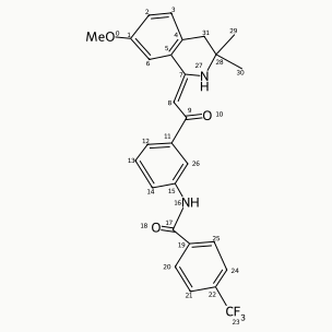 COc1ccc2c(c1)C(=CC(=O)c1cccc(NC(=O)c3ccc(C(F)(F)F)cc3)c1)NC(C)(C)C2